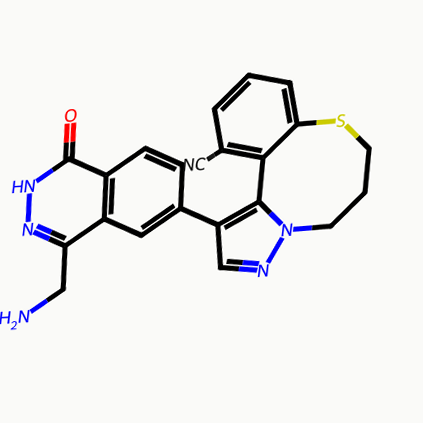 N#Cc1cccc2c1-c1c(-c3ccc4c(=O)[nH]nc(CN)c4c3)cnn1CCCS2